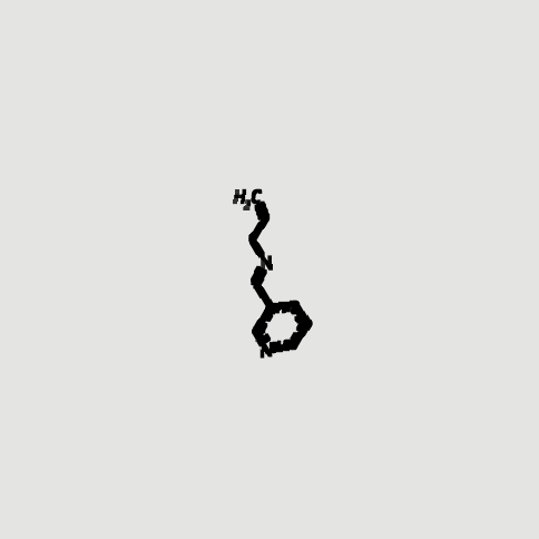 C=CCN=Cc1cccnc1